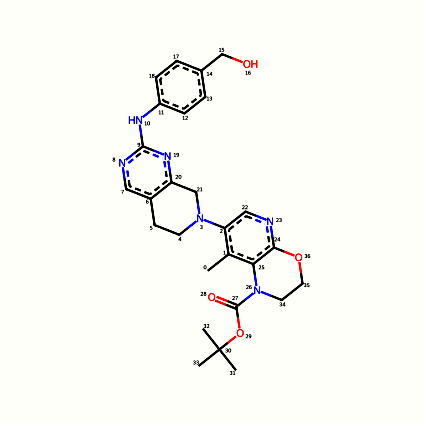 Cc1c(N2CCc3cnc(Nc4ccc(CO)cc4)nc3C2)cnc2c1N(C(=O)OC(C)(C)C)CCO2